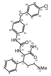 CNCCC(c1ccccc1)C(NC(=O)Nc1ccc(Oc2ccc(Cl)cc2)cc1)C(N)=O